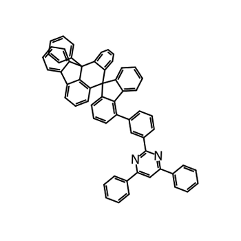 c1ccc(-c2cc(-c3ccccc3)nc(-c3cccc(-c4cccc5c4-c4ccccc4C54c5ccccc5C5(c6ccccc6)c6ccccc6-c6cccc4c65)c3)n2)cc1